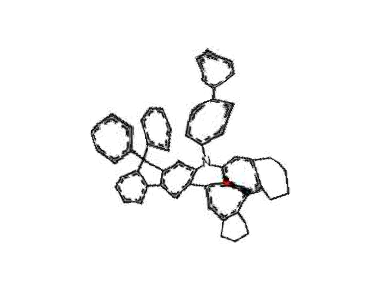 Cc1cc2c(cc1-c1cc3c(cc1N(c1ccc(-c4ccccc4)cc1)c1ccc4c(c1)CCCC4)C(c1ccccc1)(c1ccccc1)c1ccccc1-3)CCCC2